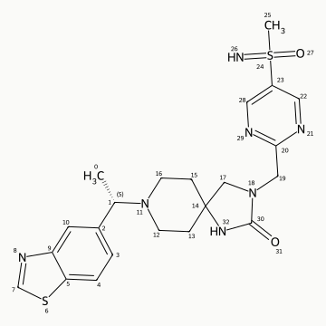 C[C@@H](c1ccc2scnc2c1)N1CCC2(CC1)CN(Cc1ncc(S(C)(=N)=O)cn1)C(=O)N2